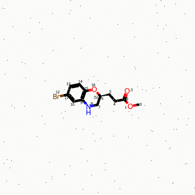 COC(=O)CC[C@H]1CNc2cc(Br)ccc2O1